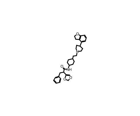 O=C(NC1CCC(CCN2CCC(c3cccc4c3CCO4)CC2)CC1)C(Cc1ccccc1)C1=COCO1